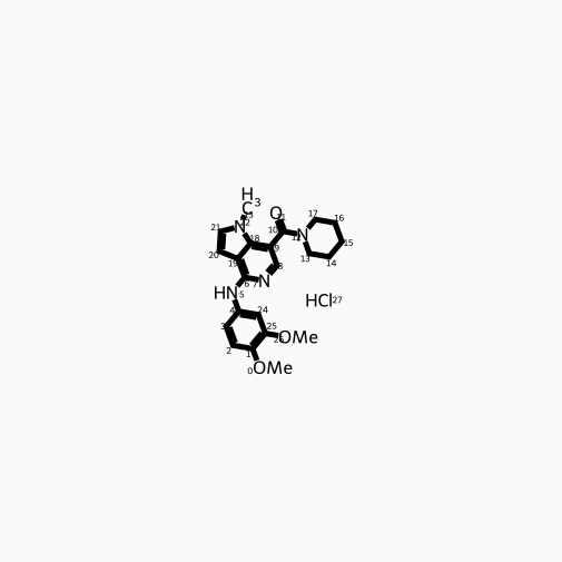 COc1ccc(Nc2ncc(C(=O)N3CCCCC3)c3c2ccn3C)cc1OC.Cl